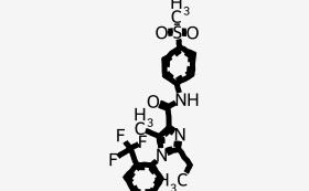 CCc1nc(C(=O)Nc2ccc(S(C)(=O)=O)cc2)c(C)n1-c1ccccc1C(F)(F)F